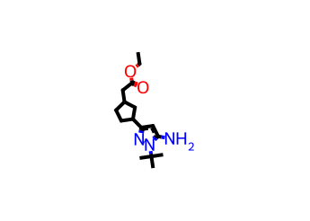 CCOC(=O)CC1CCC(c2cc(N)n(C(C)(C)C)n2)C1